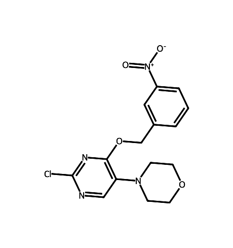 O=[N+]([O-])c1cccc(COc2nc(Cl)ncc2N2CCOCC2)c1